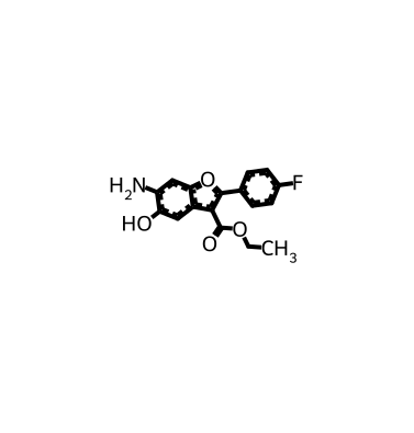 CCOC(=O)c1c(-c2ccc(F)cc2)oc2cc(N)c(O)cc12